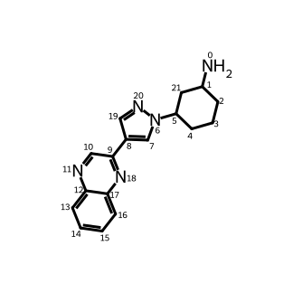 NC1CCCC(n2cc(-c3cnc4ccccc4n3)cn2)C1